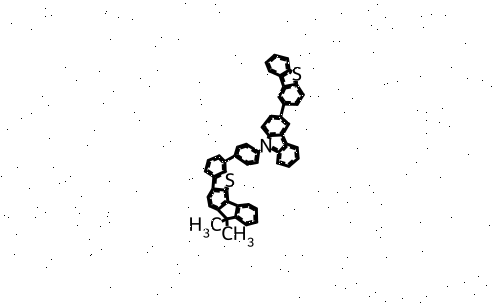 CC1(C)c2ccccc2-c2c1ccc1c2sc2c(-c3ccc(-n4c5ccccc5c5cc(-c6ccc7sc8ccccc8c7c6)ccc54)cc3)cccc21